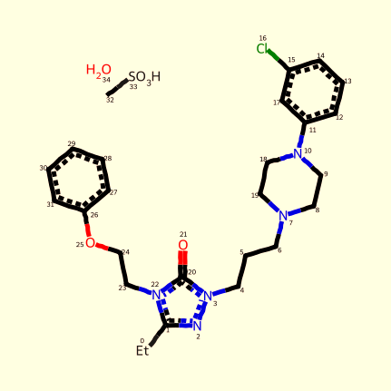 CCc1nn(CCCN2CCN(c3cccc(Cl)c3)CC2)c(=O)n1CCOc1ccccc1.CS(=O)(=O)O.O